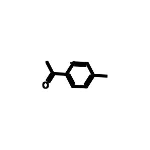 CC(=O)c1[c]cc(C)cc1